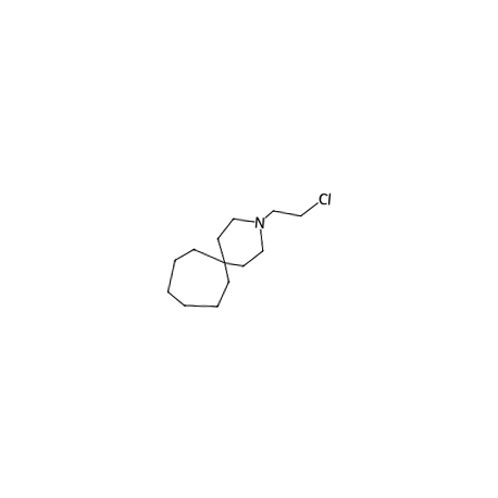 ClCCN1CCC2(CCCCCC2)CC1